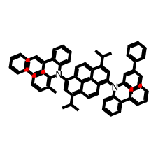 Cc1ccc(-c2ccccc2)cc1N(c1ccccc1-c1ccccc1)c1cc(C(C)C)c2ccc3c(N(c4cc(-c5ccccc5)ccc4C)c4ccccc4-c4ccccc4)cc(C(C)C)c4ccc1c2c43